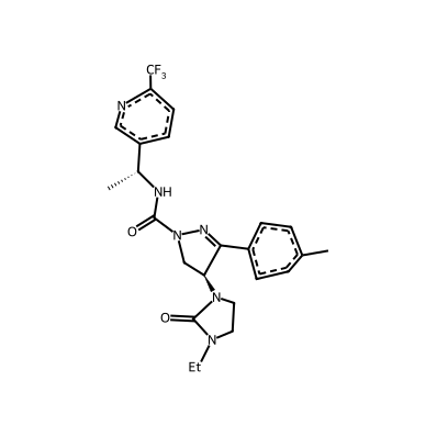 CCN1CCN([C@H]2CN(C(=O)N[C@H](C)c3ccc(C(F)(F)F)nc3)N=C2c2ccc(C)cc2)C1=O